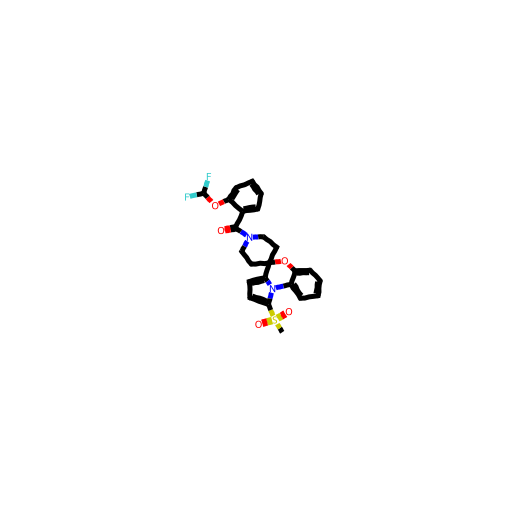 CS(=O)(=O)c1ccc2n1-c1ccccc1OC21CCN(C(=O)c2ccccc2OC(F)F)CC1